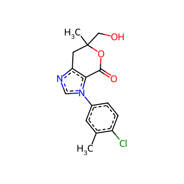 Cc1cc(-n2cnc3c2C(=O)OC(C)(CO)C3)ccc1Cl